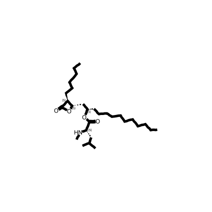 CCCCCCCCCCC[C@@H](C[C@@H]1OC(=O)[C@H]1CCCCCC)OC(=O)[C@H](CC(C)C)NC